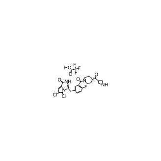 O=C(O)C(F)(F)F.O=C(c1cc(Cc2c[nH]c(=O)c3cc(Cl)c(Cl)n23)ccc1F)N1CCN(C(=O)C2CNC2)CC1